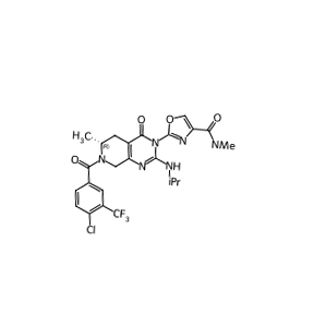 CNC(=O)c1coc(-n2c(NC(C)C)nc3c(c2=O)C[C@@H](C)N(C(=O)c2ccc(Cl)c(C(F)(F)F)c2)C3)n1